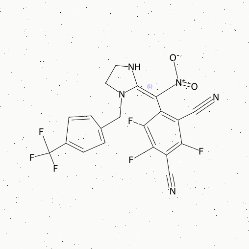 N#Cc1c(F)c(F)c(/C(=C2/NCCN2Cc2ccc(C(F)(F)F)cc2)[N+](=O)[O-])c(C#N)c1F